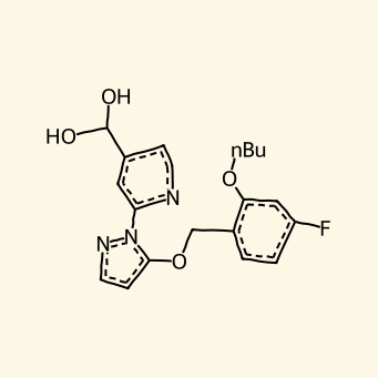 CCCCOc1cc(F)ccc1COc1ccnn1-c1cc(C(O)O)ccn1